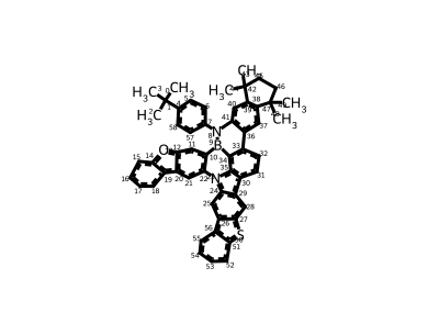 CC(C)(C)c1ccc(N2B3c4cc5oc6ccccc6c5cc4-n4c5cc6c(cc5c5ccc(c3c54)-c3cc4c(cc32)C(C)(C)CCC4(C)C)sc2ccccc26)cc1